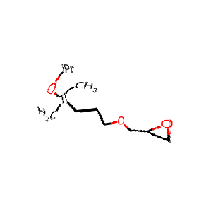 CC(C)[O][Ti]([CH3])([CH3])[CH2]CCOCC1CO1